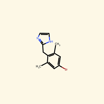 Cc1cc(Br)cc(C)c1Cc1ncc[nH]1